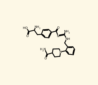 NC(=O)C1CCN(c2ccccc2CNC(N)=NC(=O)c2ccc(CC(N)C(=O)O)cc2)CC1